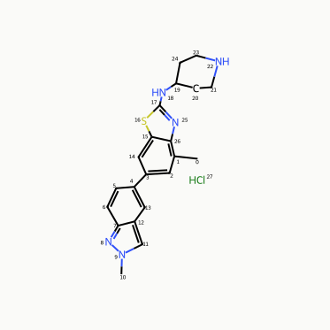 Cc1cc(-c2ccc3nn(C)cc3c2)cc2sc(NC3CCNCC3)nc12.Cl